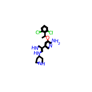 CC(Oc1cc(/C(C=N)=C/NC2CCNCC2)cnc1N)c1c(Cl)cccc1Cl